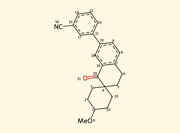 COC1CCC2(CCc3ccc(-c4cccc(C#N)c4)cc3C2=O)CC1